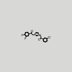 O=C(Cn1cc[n+](CC(=O)c2cccc(Cl)c2)c1)c1ccc(F)c(F)c1